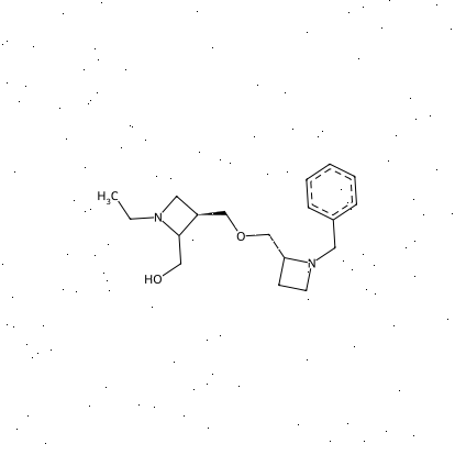 CCN1C[C@@H](COCC2CCN2Cc2ccccc2)C1CO